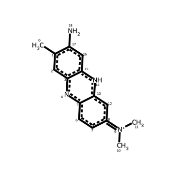 Cc1cc2nc3ccc(=[N+](C)C)cc-3[nH]c2cc1N